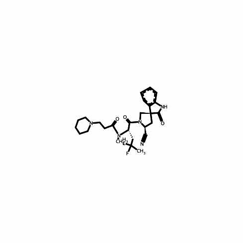 CN(C(=O)CCN1CCCCC1)[C@@H](CC(C)(C)F)C(=O)N1C[C@]2(C[C@H]1C#N)C(=O)Nc1ccccc12